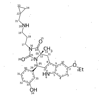 CCOc1ccc2[nH]c3c(c2c1)C[C@@]1(C)C(=O)N(CCCNCC2CC2)C(=O)N1[C@@H]3c1cccc(O)c1